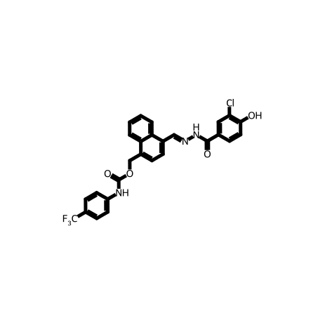 O=C(Nc1ccc(C(F)(F)F)cc1)OCc1ccc(/C=N/NC(=O)c2ccc(O)c(Cl)c2)c2ccccc12